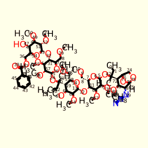 CCC(C)(O[C@@H]1O[C@@H](COC)[C@@H](O[C@H]2O[C@@H](COC)[C@@H](C(C)(CC)O[C@@H]3OC(COC)[C@@H](O[C@@H]4OC(COC(=O)c5ccccc5)[C@@H](O)C(OC)[C@@H]4OC)C(OC)[C@@H]3OC)C(OC)C2OC)C(OC)C1OC)[C@H]1C2CO[C@H](O2)[C@@H](N=[N+]=[N-])C1OC